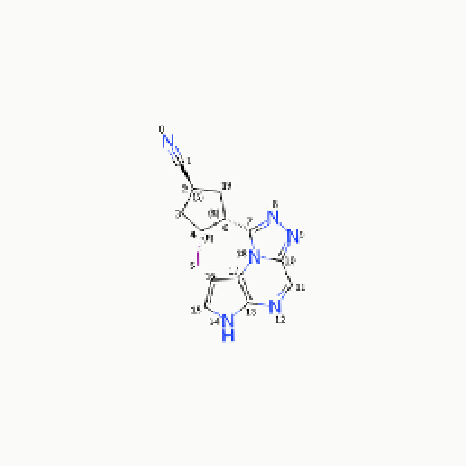 N#C[C@@H]1C[C@@H](I)[C@@H](c2nnc3cnc4[nH]ccc4n23)C1